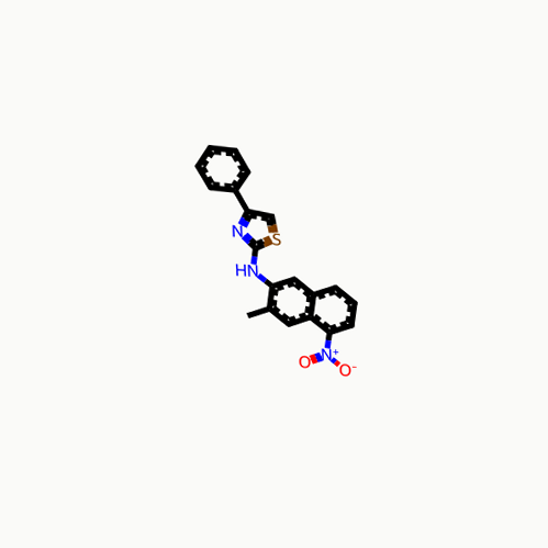 Cc1cc2c([N+](=O)[O-])cccc2cc1Nc1nc(-c2ccccc2)cs1